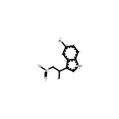 CC(C[N+](=O)[O-])c1c[nH]c2ccc(Br)cc12